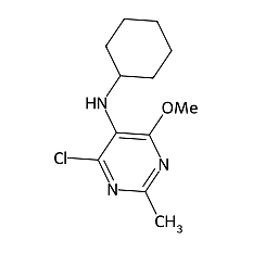 COc1nc(C)nc(Cl)c1NC1CCCCC1